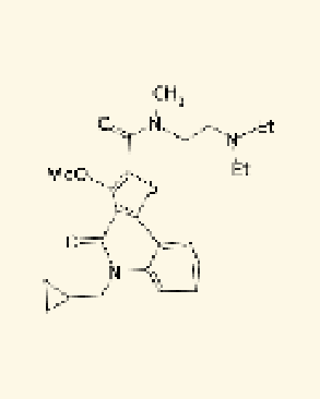 CCN(CC)CCN(C)C(=O)c1sc2c(c1OC)c(=O)n(CC1CC1)c1ccccc21